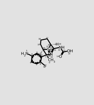 C[C@]1(c2cc(N)ccc2F)N=C(NC(=O)O)[C@@H]2CCC[C@H]1S2(=O)=O